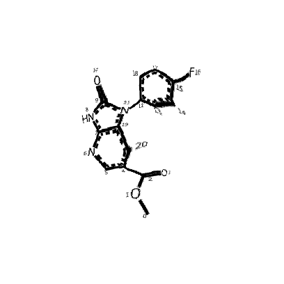 COC(=O)c1cnc2[nH]c(=O)n(-c3ccc(F)cc3)c2c1